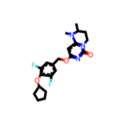 CC1CCn2c(cc(OCc3cc(F)c(OC4CCCC4)c(F)c3)nc2=O)N1C